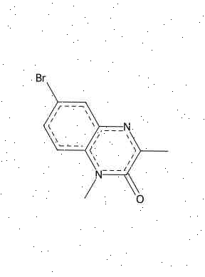 Cc1nc2cc(Br)ccc2n(C)c1=O